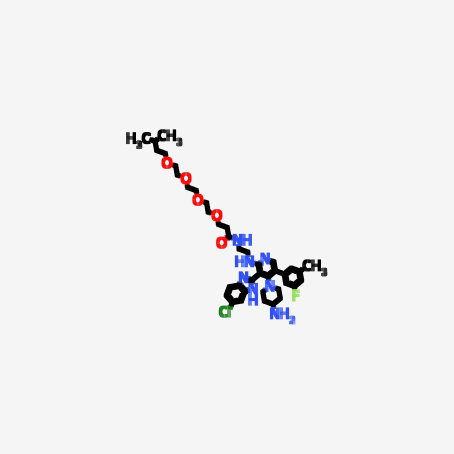 Cc1cc(F)cc(-c2cnc(NCCNC(=O)CCOCCOCCOCCOCCC(C)C)c(-c3nc4ccc(Cl)cc4[nH]3)c2N2CCC(N)CC2)c1